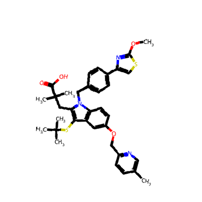 COc1nc(-c2ccc(Cn3c(CC(C)(C)C(=O)O)c(SC(C)(C)C)c4cc(OCc5ccc(C)cn5)ccc43)cc2)cs1